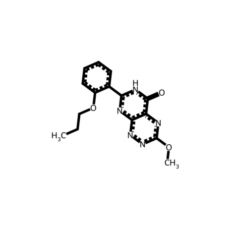 CCCOc1ccccc1-c1nc2nnc(OC)nc2c(=O)[nH]1